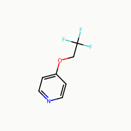 FC(F)(F)COc1ccncc1